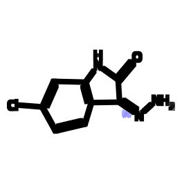 N/N=C1\C(=O)Nc2cc(Cl)ccc21